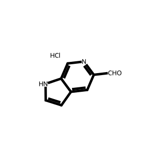 Cl.O=Cc1cc2cc[nH]c2cn1